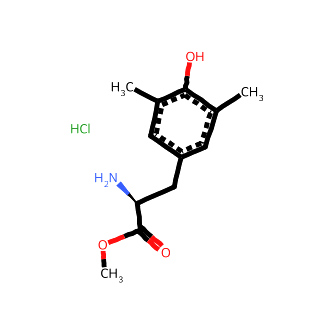 COC(=O)[C@@H](N)Cc1cc(C)c(O)c(C)c1.Cl